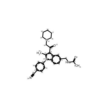 CC(=O)NCc1ccc2c(c1)c(C(=O)CN1CCCCC1)c(C)n2-c1ccc(C#N)cc1